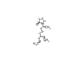 COCC(CSCC(C)N1CCCC1=O)OC